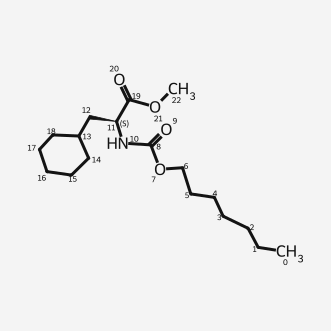 CCCCCCCOC(=O)N[C@@H](CC1CCCCC1)C(=O)OC